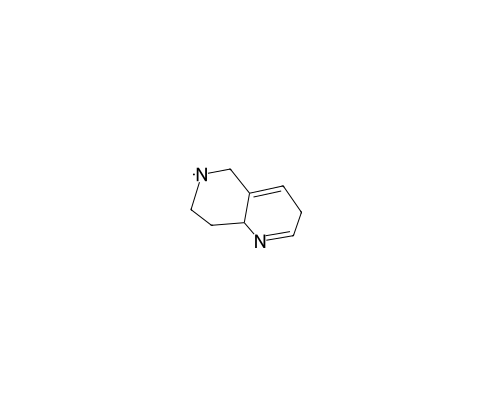 C1=NC2CC[N]CC2=CC1